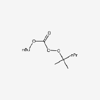 CCCCOC(=O)OOC(C)(C)CCC